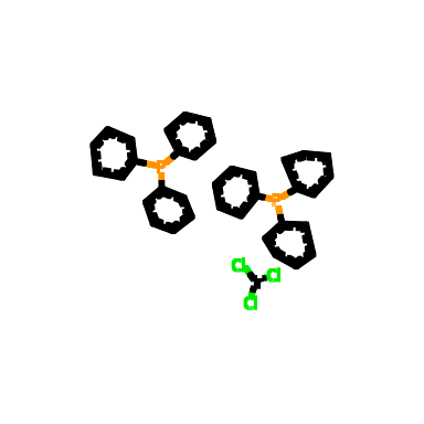 [Cl][Ir]([Cl])[Cl].c1ccc(P(c2ccccc2)c2ccccc2)cc1.c1ccc(P(c2ccccc2)c2ccccc2)cc1